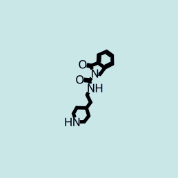 O=C(NCCC1CCNCC1)N1Cc2ccccc2C1=O